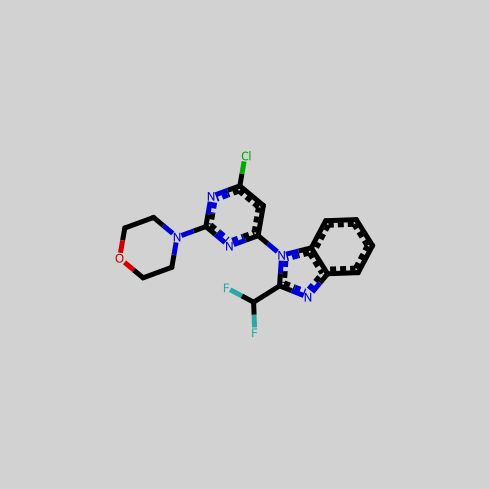 FC(F)c1nc2ccccc2n1-c1cc(Cl)nc(N2CCOCC2)n1